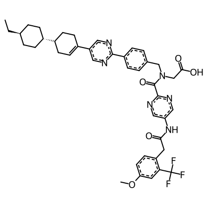 CC[C@H]1CC[C@H](C2CC=C(c3cnc(-c4ccc(CN(CC(=O)O)C(=O)c5ncc(NC(=O)Cc6ccc(OC)cc6C(F)(F)F)cn5)cc4)nc3)CC2)CC1